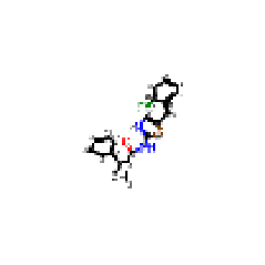 CC(CC(=O)Nc1ncc(Cc2ccccc2Cl)s1)c1ccccc1